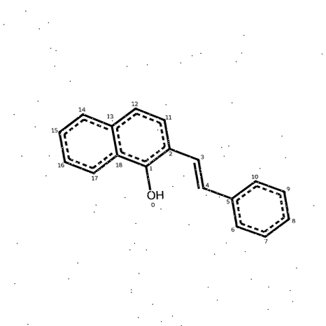 Oc1c(C=Cc2ccccc2)ccc2ccccc12